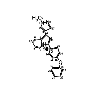 Cn1cc(C2=C3C=NC=C[N+]3(N)C(c3ccc(Oc4ccccc4)cc3)=N2)cn1